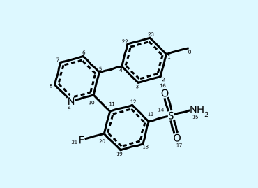 Cc1ccc(-c2cccnc2-c2cc(S(N)(=O)=O)ccc2F)cc1